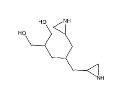 OCC(CO)CC(CC1CN1)CC1CN1